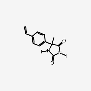 C=Cc1ccc(C2(C)C(=O)N(I)C(=O)N2I)cc1